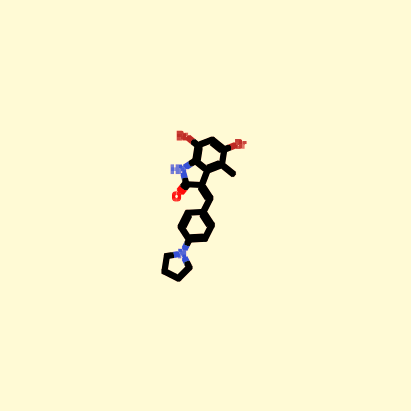 Cc1c(Br)cc(Br)c2c1C(=Cc1ccc(N3CCCC3)cc1)C(=O)N2